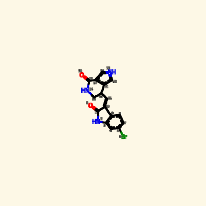 O=C1Nc2cc(Br)ccc2C1=CC1CNC(=O)c2c[nH]cc21